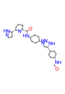 O=CNc1ccc(C2=CN(c3ccc(NC(=O)c4cccc(-c5ccn[nH]5)n4)cc3)NN2)cc1